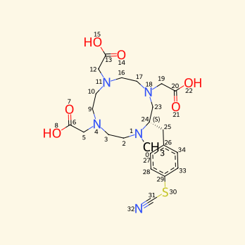 CN1CCN(CC(=O)O)CCN(CC(=O)O)CCN(CC(=O)O)C[C@@H]1Cc1ccc(SC#N)cc1